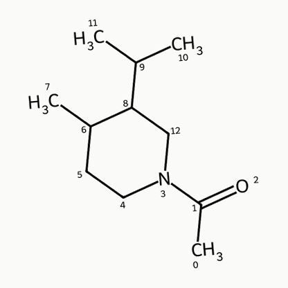 CC(=O)N1CCC(C)C(C(C)C)C1